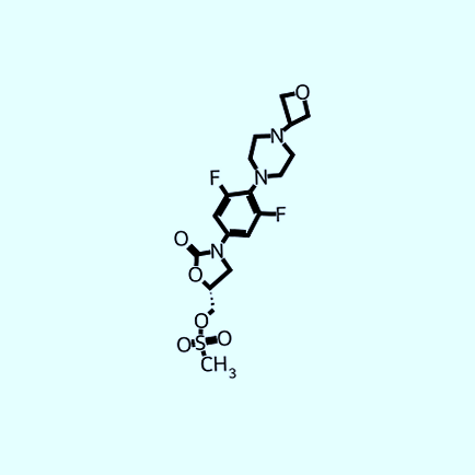 CS(=O)(=O)OC[C@H]1CN(c2cc(F)c(N3CCN(C4COC4)CC3)c(F)c2)C(=O)O1